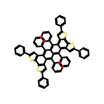 c1ccc(-c2cc3c(s2)c2sc(-c4ccccc4)cc2c2c(-c4ccccc4)c4c(-c5ccccc5)c5c6cc(-c7ccccc7)sc6c6sc(-c7ccccc7)cc6c5c(-c5ccccc5)c4c(-c4ccccc4)c32)cc1